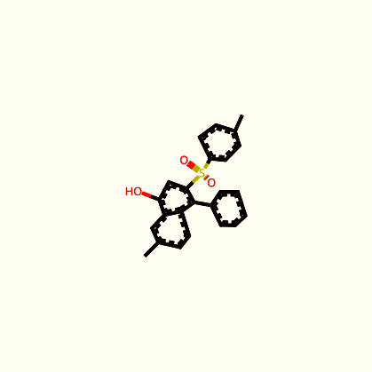 Cc1ccc(S(=O)(=O)c2cc(O)c3cc(C)ccc3c2-c2ccccc2)cc1